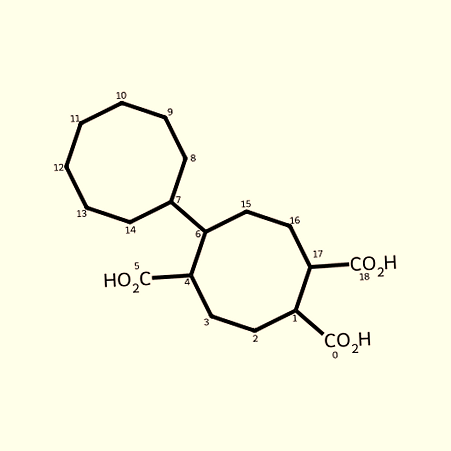 O=C(O)C1CCC(C(=O)O)C(C2CCCCCCC2)CCC1C(=O)O